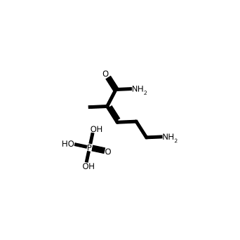 CC(=CCCN)C(N)=O.O=P(O)(O)O